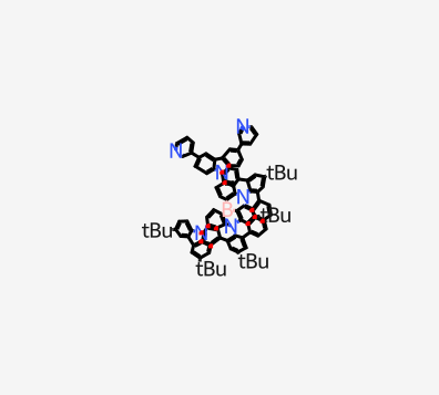 CC(C)(C)c1cc(-c2ccccc2)c(N2c3cc(-n4c5ccc(-c6cccnc6)cc5c5cc(-c6cccnc6)ccc54)ccc3B3c4ccc(-n5c6ccc(C(C)(C)C)cc6c6cc(C(C)(C)C)ccc65)cc4N(c4c(-c5ccccc5)cc(C(C)(C)C)cc4-c4ccccc4)c4cc(C(C)(C)C)cc2c43)c(-c2ccccc2)c1